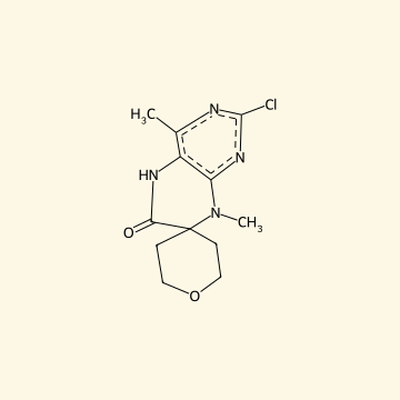 Cc1nc(Cl)nc2c1NC(=O)C1(CCOCC1)N2C